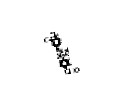 O=Cc1ccc(S(=O)(=O)NCc2ccc(Cl)c(Cl)c2)cc1